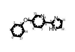 c1ccc(Oc2ccc(-c3ncc[nH]3)nc2)cc1